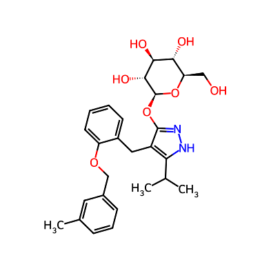 Cc1cccc(COc2ccccc2Cc2c(O[C@@H]3O[C@H](CO)[C@@H](O)[C@H](O)[C@H]3O)n[nH]c2C(C)C)c1